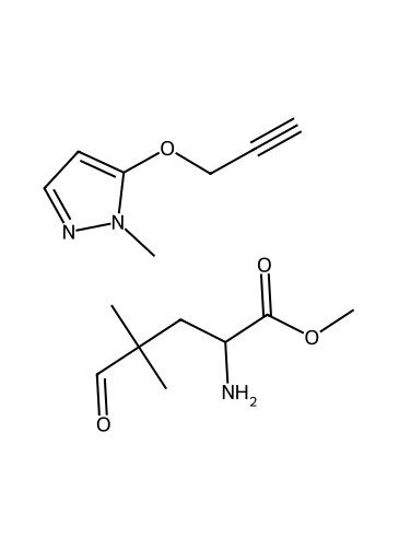 C#CCOc1ccnn1C.COC(=O)C(N)CC(C)(C)C=O